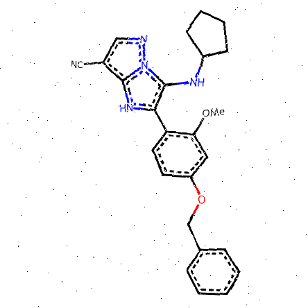 COc1cc(OCc2ccccc2)ccc1-c1[nH]c2c(C#N)cnn2c1NC1CCCC1